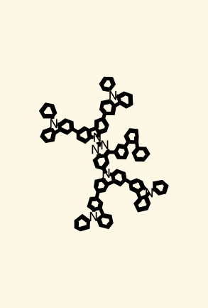 c1ccc(-c2ccccc2-c2cccc(-c3nc(-n4c5ccc(-c6ccc7c(c6)c6ccccc6n7-c6ccccc6)cc5c5cc(-c6ccc7c(c6)c6ccccc6n7-c6ccccc6)ccc54)nc4ccc(-n5c6ccc(-c7ccc8c(c7)c7ccccc7n8-c7ccccc7)cc6c6cc(-c7ccc8c(c7)c7ccccc7n8-c7ccccc7)ccc65)cc34)c2)cc1